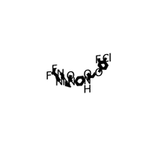 O=C(CCOc1ccc(Cl)c(F)c1)N[C@H]1CC[C@H](N2CCN(c3cnc(C(F)F)cn3)C2=O)CC1